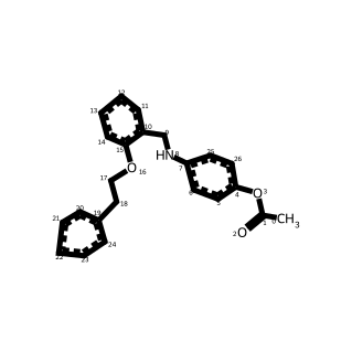 CC(=O)Oc1ccc(NCc2ccccc2OCCc2ccccc2)cc1